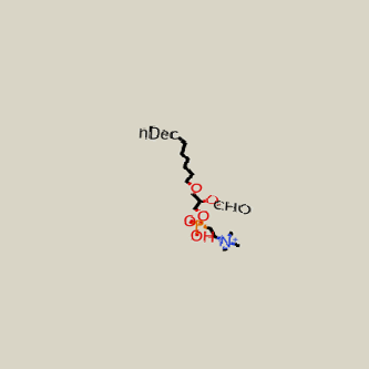 CCCCCCCCCCCCCCCCOCC(COP(=O)(O)CC[N+](C)(C)C)OC=O